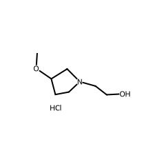 COC1CCN(CCO)C1.Cl